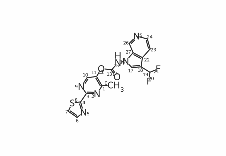 Cc1nc(-c2nccs2)ncc1OC(=O)Nn1cc(C(F)F)c2ccncc21